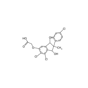 CC1(c2ccc(Cl)cc2)C(O)c2cc(OCC(=O)O)c(Cl)c(Cl)c2C1O